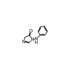 O=C1CN=CN1Nc1ccccc1